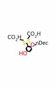 CCCCCCCCCCCOc1ccc(O)cc1C(SCCC(=O)O)SCCC(=O)O